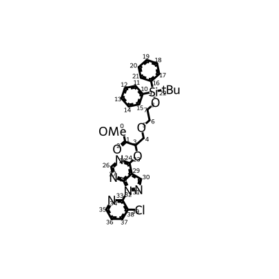 COC(=O)C(COCCO[Si](c1ccccc1)(c1ccccc1)C(C)(C)C)Oc1ncnc2c1cnn2-c1ncccc1Cl